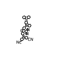 N#Cc1ccc2c(c1)c1cc(C#N)ccc1n2-c1ccc2c(c1)C1(c3cc(-n4c5ccccc5c5cc(-n6c7ccccc7c7ccccc76)ccc54)ccc3O2)c2cccnc2-c2ncccc21